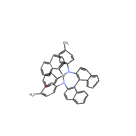 Cc1ccc(N2c3ccc4ccccc4c3-c3c(ccc4ccccc34)N(c3ccc(C)cc3)[Si]2(c2ccccc2)c2cccc3ccccc23)cc1